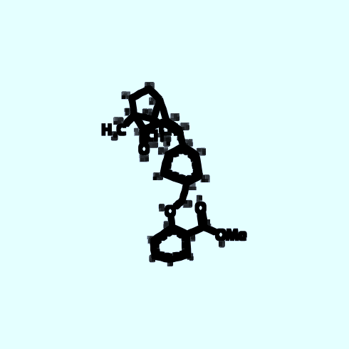 COC(=O)c1ccccc1OCc1ccc(C=C2C(=O)C3(C)CCC2C3(C)C)cc1